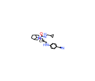 CN(C(=O)NCC1CC1)C1C2CCC1CN(CCCNc1ccc(C#N)cc1)C2